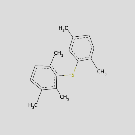 Cc1ccc(C)c(Sc2c(C)ccc(C)c2C)c1